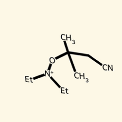 CC[N+](CC)OC(C)(C)CC#N